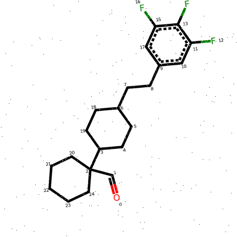 O=CC1(C2CCC(CCc3cc(F)c(F)c(F)c3)CC2)CCCCC1